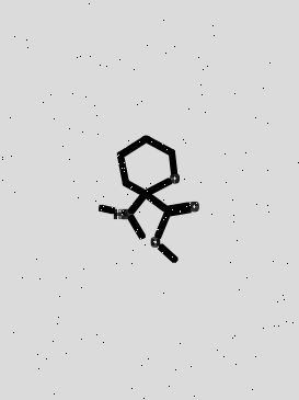 COC(=O)C1([SiH](C)C)CCCCO1